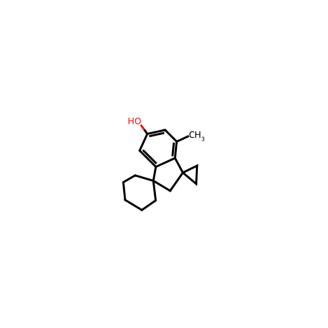 Cc1cc(O)cc2c1C1(CC1)CC21CCCCC1